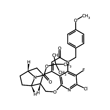 COc1ccc(Cn2c(=O)cc3c4c(nc(Cl)c(F)c42)OC[C@@H]2[C@@H]4CC[C@H](CN32)N4C(=O)OC(C)(C)C)cc1